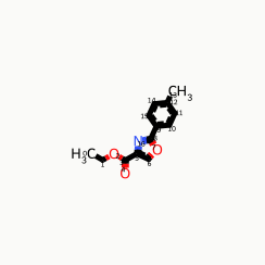 CCOC(=O)c1coc(-c2ccc(C)cc2)n1